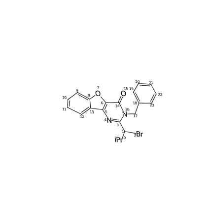 CC(C)C(Br)c1nc2c(oc3ccccc32)c(=O)n1Cc1ccccc1